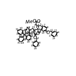 COC(=O)CN(Cc1ccc(OCc2ccccc2)cc1)C(=O)C(Cc1cn(C(c2ccccc2)(c2ccccc2)c2ccccc2)cn1)NC(=O)OCc1ccccc1